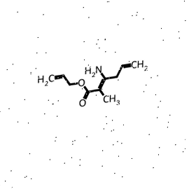 C=CCOC(=O)C(C)=C(N)CC=C